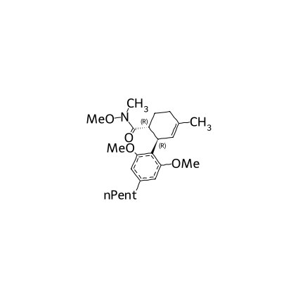 CCCCCc1cc(OC)c([C@@H]2C=C(C)CC[C@H]2C(=O)N(C)OC)c(OC)c1